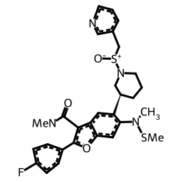 CNC(=O)c1c(-c2ccc(F)cc2)oc2cc(N(C)SC)c([C@@H]3CCCN([S+]([O-])Cc4cccnc4)C3)cc12